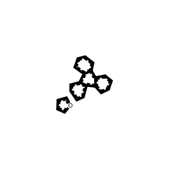 c1ccc2c(c1)c1ccccc1c1ccccc21.c1ccoc1